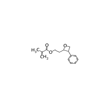 C=C(C)C(=O)OCCC1OCC1c1ccccc1